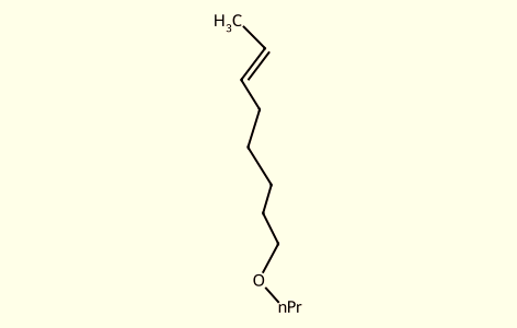 [CH2]CCOCCCCCC=CC